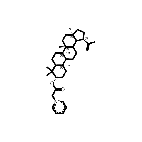 C=C(C)[C@@H]1CC[C@]2(C)CC[C@]3(C)C(CCC4[C@@]5(C)CC[C@H](OC(=O)C[n+]6ccccc6)C(C)(C)C5CC[C@]43C)C12